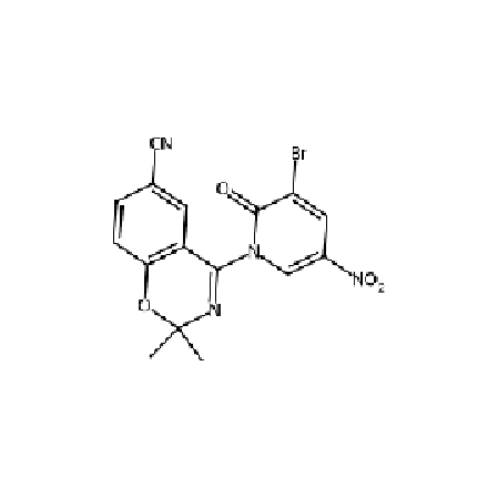 CC1(C)N=C(n2cc([N+](=O)[O-])cc(Br)c2=O)c2cc(C#N)ccc2O1